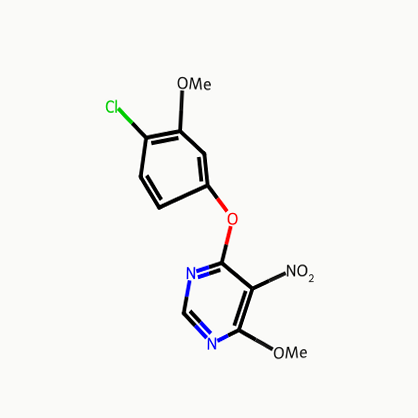 COc1cc(Oc2ncnc(OC)c2[N+](=O)[O-])ccc1Cl